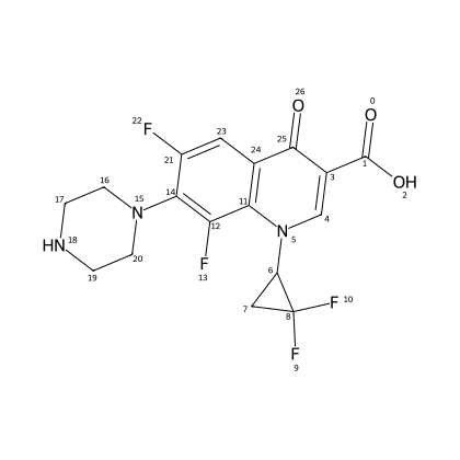 O=C(O)c1cn(C2CC2(F)F)c2c(F)c(N3CCNCC3)c(F)cc2c1=O